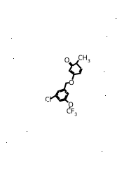 CC1C=CC(OCc2cc(Cl)cc(OC(F)(F)F)c2)=CC1=O